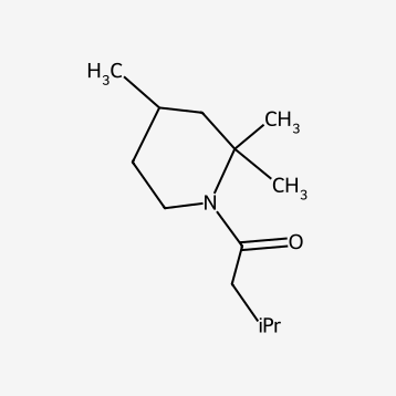 CC(C)CC(=O)N1CCC(C)CC1(C)C